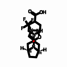 O=C(O)C1CCN([C@H]2C[C@H]3CC[C@@H](C2)N3C2=CN(C(F)(F)F)NO2)CC1